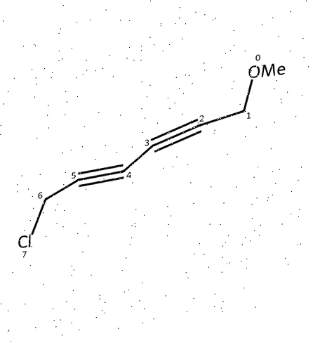 COCC#CC#CCCl